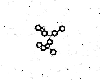 c1ccc(-c2ccc(N(c3ccc4c(c3)oc3ccccc34)c3ccc4c(c3)c3c5ccccc5ccc3n4-c3ccccc3)cc2)cc1